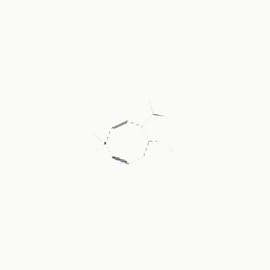 CSC1C/C=C\C(C)(C)/C=C\C1C(C)C